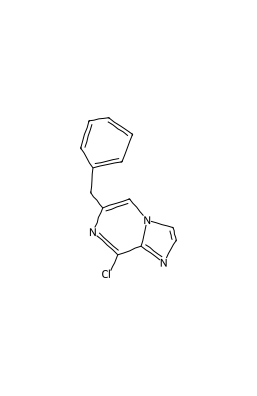 Clc1nc(Cc2ccccc2)cn2ccnc12